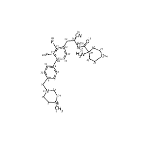 CN1CCN(Cc2ccc(-c3ccc(C[C@@H](C#N)NC(=O)C4(N)CCOCC4)c(F)c3F)cc2)CC1